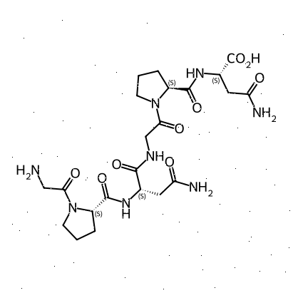 NCC(=O)N1CCC[C@H]1C(=O)N[C@@H](CC(N)=O)C(=O)NCC(=O)N1CCC[C@H]1C(=O)N[C@@H](CC(N)=O)C(=O)O